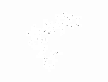 COc1ccccc1C(C)OC(=O)Nc1c(C)noc1-c1ccc(NC(=O)[C@H]2CCCC[C@@H]2C(=O)O)cn1